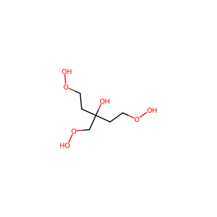 OOCCC(O)(CCOO)COO